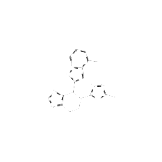 Cc1nnc(N2CCc3[nH]cnc3C2c2cc3c(F)cccn3n2)o1